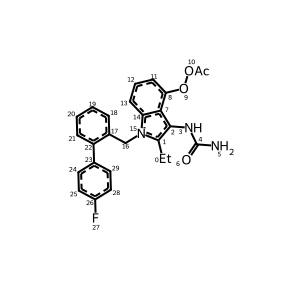 CCc1c(NC(N)=O)c2c(OOC(C)=O)cccc2n1Cc1ccccc1-c1ccc(F)cc1